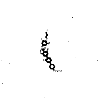 CCCCCC1CCC(c2ccc(-c3cc(F)c(C(F)(F)Oc4cc(F)c(OCCCF)c(F)c4)c(F)c3)c(F)c2)CC1